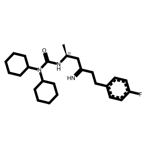 C[C@@H](CC(=N)CCc1ccc(F)cc1)NC(=O)N(C1CCCCC1)C1CCCCC1